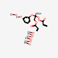 C=CC(=O)OCC(CCCCCCCCC)(OOC(=O)C=C)Oc1ccccc1.[CH2]C[O].[CH2]C[O].[CH2]C[O].[CH2]C[O].[CH2]C[O].[CH2]C[O].[CH2]C[O].[CH2]C[O]